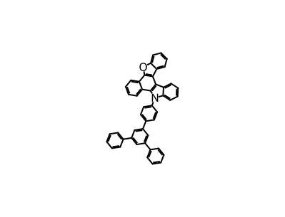 c1ccc(-c2cc(-c3ccccc3)cc(-c3ccc(-n4c5ccccc5c5c6c7ccccc7oc6c6ccccc6c54)cc3)c2)cc1